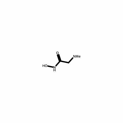 CNCC(=O)NO